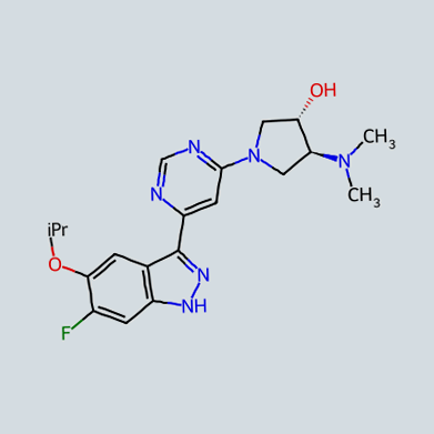 CC(C)Oc1cc2c(-c3cc(N4C[C@H](O)[C@@H](N(C)C)C4)ncn3)n[nH]c2cc1F